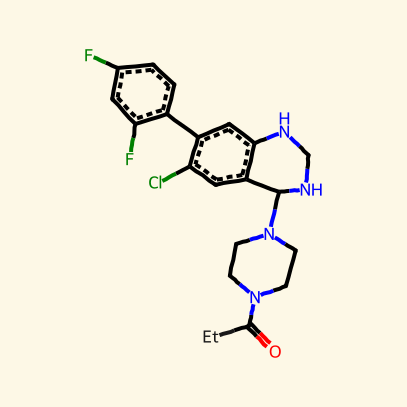 CCC(=O)N1CCN(C2NCNc3cc(-c4ccc(F)cc4F)c(Cl)cc32)CC1